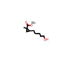 CC(C)(C)OC(=O)C1(C)CC1CCCCCO